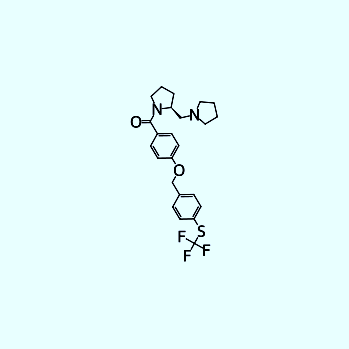 O=C(c1ccc(OCc2ccc(SC(F)(F)F)cc2)cc1)N1CCC[C@H]1CN1CCCC1